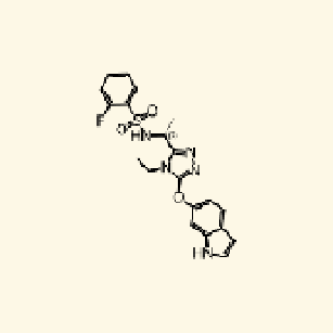 CCn1c(Oc2ccc3cc[nH]c3c2)nnc1[C@@H](C)NS(=O)(=O)c1ccccc1F